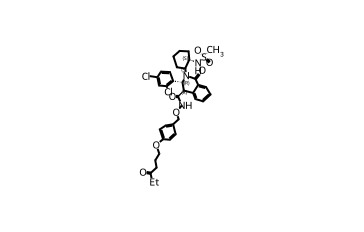 CCC(=O)CCCOc1ccc(CONC(=O)[C@@H]2c3ccccc3C(=O)N([C@H]3CCCC[C@@H]3NS(C)(=O)=O)[C@H]2c2ccc(Cl)cc2Cl)cc1